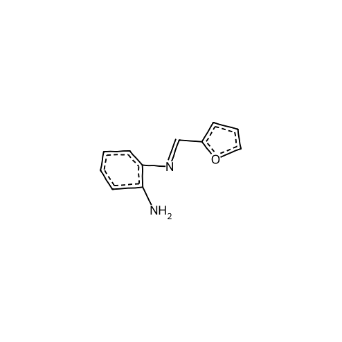 Nc1ccccc1N=Cc1ccco1